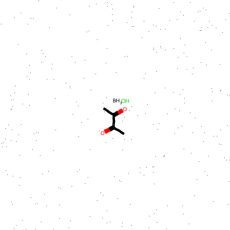 B.CC(=O)C(C)=O.Cl